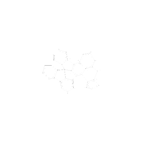 c1ccc2c(c1)-c1ccccc1C21c2ccccc2-c2c1cc1c3c(cccc23)Cc2cscc2-1